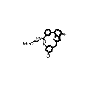 COCCNC(=O)c1cccc(-c2ccc(F)c3cc(Cc4cc(F)cc(Cl)c4)sc23)c1